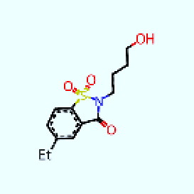 CCc1ccc2c(c1)C(=O)N(CCCCO)S2(=O)=O